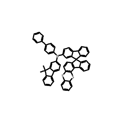 CC1(C)c2ccccc2-c2ccc(N(c3ccc(-c4ccccc4)cc3)c3ccc4c(c3)C3(c5ccccc5-4)c4ccccc4-c4c3ccc3c4Sc4ccccc4S3)cc21